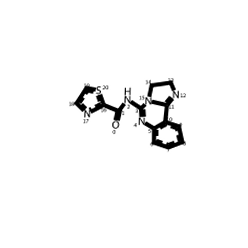 O=C(NC1=Nc2ccccc2C2=NCCN12)c1nccs1